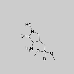 COP(=O)(CC1CN(O)C(=O)C1N)OC